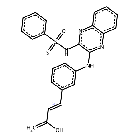 C=C(O)/C=C/c1cccc(Nc2nc3ccccc3nc2NS(=O)(=S)c2ccccc2)c1